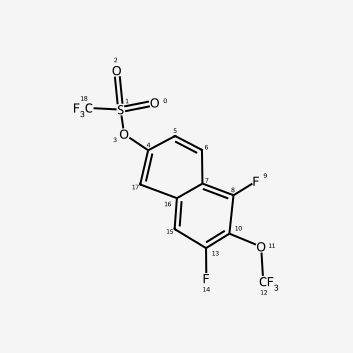 O=S(=O)(Oc1ccc2c(F)c(OC(F)(F)F)c(F)cc2c1)C(F)(F)F